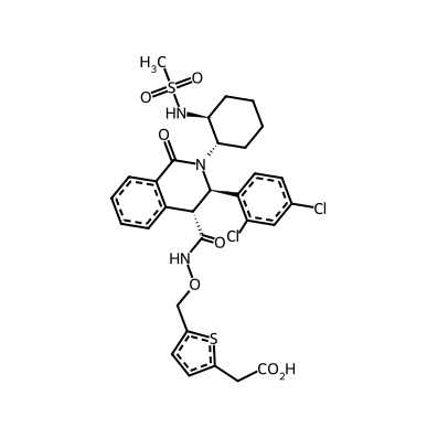 CS(=O)(=O)N[C@H]1CCCC[C@@H]1N1C(=O)c2ccccc2[C@@H](C(=O)NOCc2ccc(CC(=O)O)s2)[C@@H]1c1ccc(Cl)cc1Cl